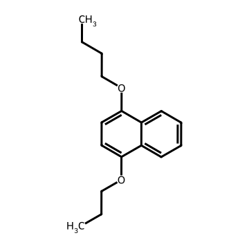 CCCCOc1ccc(OCCC)c2ccccc12